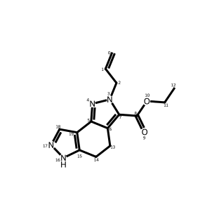 C=CCn1nc2c(c1C(=O)OCC)CCc1[nH]ncc1-2